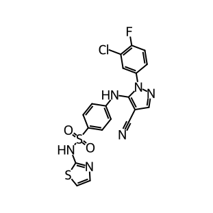 N#Cc1cnn(-c2ccc(F)c(Cl)c2)c1Nc1ccc(S(=O)(=O)Nc2nccs2)cc1